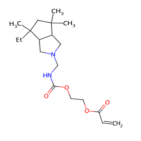 C=CC(=O)OCCOC(=O)NCN1CC2C(C1)C(C)(CC)CC2(C)C